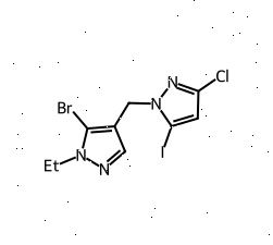 CCn1ncc(Cn2nc(Cl)cc2I)c1Br